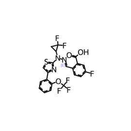 O=C(O)c1cc(F)ccc1/C=N/N(c1nc(-c2ccccc2OC(F)(F)F)cs1)C1CC1(F)F